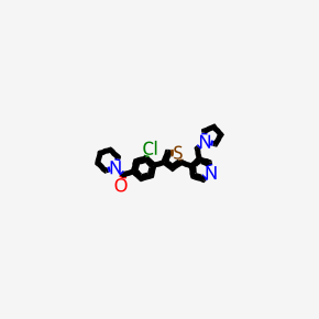 O=C(c1ccc(-c2csc(-c3ccncc3CN3CCCC3)c2)c(Cl)c1)N1CCCCC1